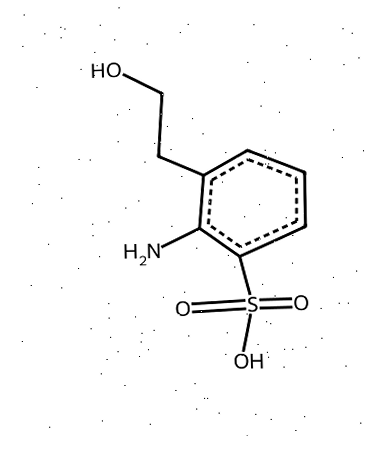 Nc1c(CCO)cccc1S(=O)(=O)O